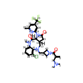 C=C(CN(C)C)C(=O)N1CC(CN2C[C@H]3CC(=O)N(c4cc(C(F)(F)F)cc(C)n4)[C@@H]3C(=O)N(C)c3cccc(Cl)c32)C1